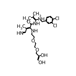 CC(C)=C(NCc1ccc(Cl)c(Cl)c1)NC(=O)/C(NCCOCCOC/C(O)=C/O)=C(\C)C=N